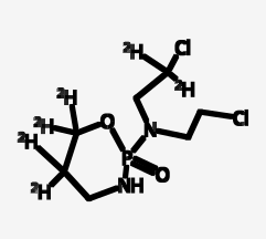 [2H]C([2H])(Cl)CN(CCCl)P1(=O)NCC([2H])([2H])C([2H])([2H])O1